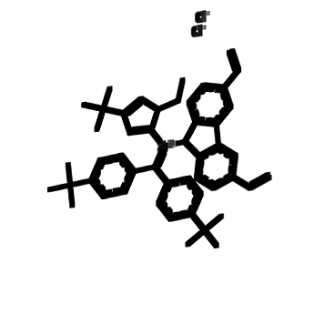 C=Cc1ccc2c(c1)-c1cc(C=C)ccc1[CH]2[Zr+2]([C]1=CC(C(C)(C)C)=CC1CC)=[C](c1ccc(C(C)(C)C)cc1)c1ccc(C(C)(C)C)cc1.[Cl-].[Cl-]